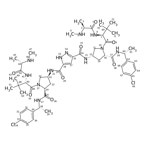 CN[C@@H](C)C(=O)N[C@H](C(=O)N1C[C@@H](NC(=O)c2cc(C(=O)N[C@H]3C[C@@H](C(=O)N[C@H](C)c4ccc(Cl)cc4)N(C(=O)[C@@H](NC(=O)[C@H](C)NC)C(C)(C)C)C3)[nH]n2)C[C@H]1C(=O)N[C@H](C)c1ccc(Cl)cc1)C(C)(C)C